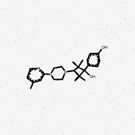 Cc1ccnc(N2CCN(C3C(C)(C)C(O)(c4ccc(O)cc4)C3(C)C)CC2)c1